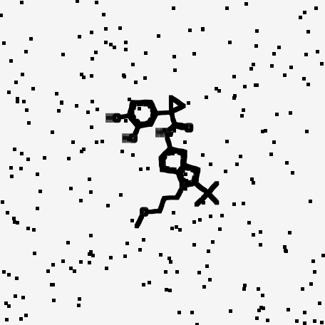 COCCCn1c(C(C)(C)C)cc2cc(NC(=O)C3(c4ccc(O)c(O)c4)CC3)ccc21